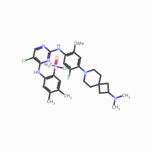 COc1cc(N2CCC3(CC2)CC(N(C)C)C3)c(F)cc1Nc1ncc(Cl)c(Nc2cc(C)c(C)cc2P(C)(C)=O)n1